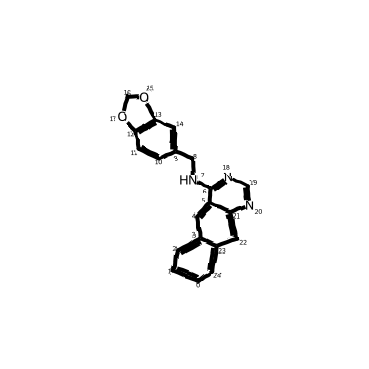 c1ccc2cc3c(NCc4ccc5c(c4)OCO5)ncnc3cc2c1